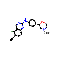 C#Cc1ccc2nc(Nc3ccc(C4CN(C=O)CCO4)cc3)ncc2c1Cl